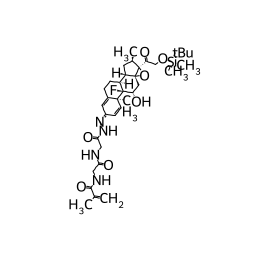 C=C(C)C(=O)NCC(=O)NCC(=O)N/N=C1\C=C[C@@]2(C)C(=C1)CC[C@H]1[C@@H]3C[C@@H](C)[C@@]4(C(=O)CO[Si](C)(C)C(C)(C)C)O[C@]34C[C@H](O)[C@@]12F